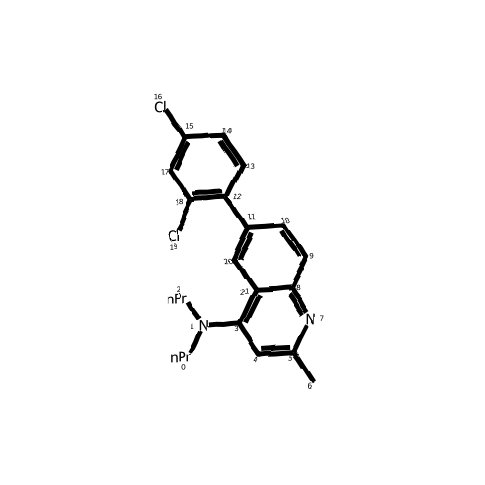 CCCN(CCC)c1cc(C)nc2ccc(-c3ccc(Cl)cc3Cl)cc12